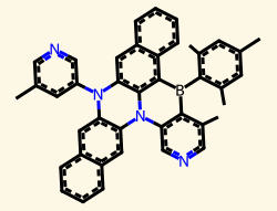 Cc1cncc(N2c3cc4ccccc4cc3N3c4cncc(C)c4B(c4c(C)cc(C)cc4C)c4c3c2cc2ccccc42)c1